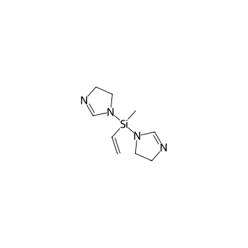 C=C[Si](C)(N1C=NCC1)N1C=NCC1